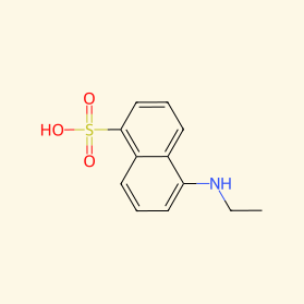 CCNc1cccc2c(S(=O)(=O)O)cccc12